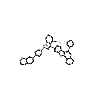 CC(/N=C(/c1ccc2c(c1)oc1c3ccccc3cc(-c3ccccc3)c21)c1ccccc1N)c1ccc(-c2ccc3ccccc3c2)cc1